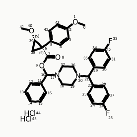 COc1ccc([C@@]2(C(=O)OC(c3ccccc3)N3CCN(C(c4ccc(F)cc4)c4ccc(F)cc4)CC3)C[C@@H]2OC)cc1.Cl.Cl